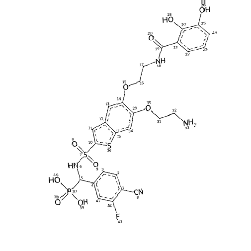 N#Cc1ccc(C(NS(=O)(=O)c2cc3cc(OCCNC(=O)c4cccc(O)c4O)c(OCCN)cc3s2)P(=O)(O)O)cc1F